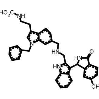 O=C(O)NCCc1cn(Cc2ccccc2)c2cc(CNCc3[nH]c4ccccc4c3C3NC(=O)c4ccc(O)cc43)ccc12